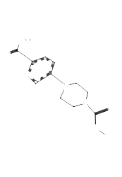 COC(=O)c1ccc(N2CCN(C(=O)OC(C)(C)C)[C@@H](C)C2)cn1